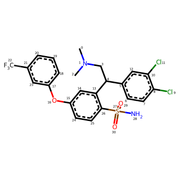 CN(C)CC(c1ccc(Cl)c(Cl)c1)c1cc(Oc2cccc(C(F)(F)F)c2)ccc1S(N)(=O)=O